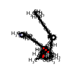 CCCC1O[C@@H]2C[C@H]3[C@@H]4C[C@H](F)C5=CC(=O)C=C[C@]5(C)[C@@]4(F)[C@@H](O)C[C@]3(C)[C@]2(C(=O)CNC(=O)[C@H](C)NC(=O)[C@@H](NC(=O)[C@@H](CCCCNC(=O)COC2CCCCCc3c2nnn3CCOCCOCCOCCOCCC(=O)NCC[N+](C)(C)C)NC(=O)CCOCCOCCOCCOCCNC(=O)CO[C@@H]2[C@@H]3CC/C(C)=C\CC[C@@H]32)C(C)C)O1